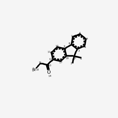 CC1(C)c2ccccc2-c2ccc(C(=O)CBr)cc21